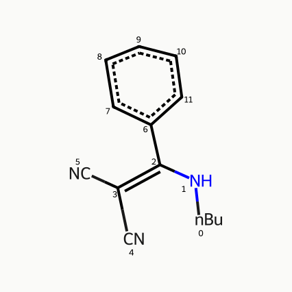 CCCCNC(=C(C#N)C#N)c1ccccc1